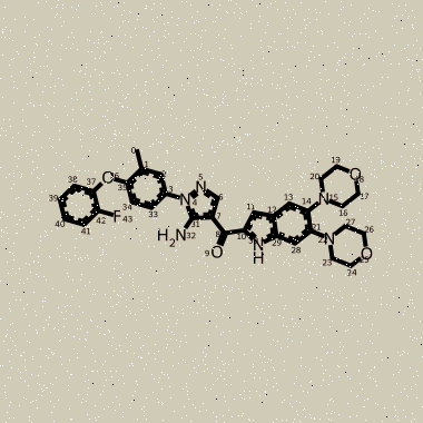 Cc1cc(-n2ncc(C(=O)c3cc4cc(N5CCOCC5)c(N5CCOCC5)cc4[nH]3)c2N)ccc1Oc1ccccc1F